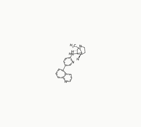 C[C@@H]1[C@@H](Nc2ccc(-c3cccc4ncccc34)cn2)C2CCN1CC2